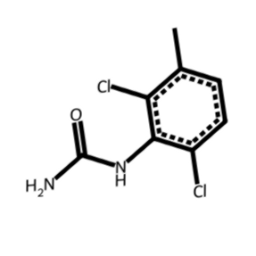 Cc1ccc(Cl)c(NC(N)=O)c1Cl